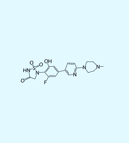 CN1CCN(c2ccc(-c3cc(O)c(N4CC(=O)NS4(=O)=O)c(F)c3)cn2)CC1